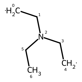 [CH2]CN(C[CH2])CC